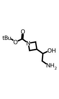 CC(C)(C)OC(=O)N1CC(C(O)CN)C1